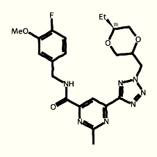 CC[C@H]1COC(Cn2nnc(-c3cc(C(=O)NCc4ccc(F)c(OC)c4)nc(C)n3)n2)CO1